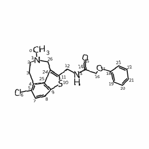 CN1CCc2c(Cl)ccc3sc(CNC(=O)COc4ccccc4)c(c23)C1